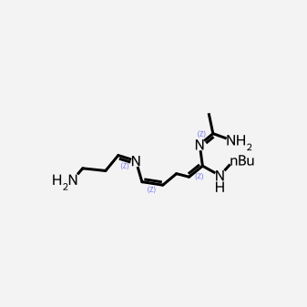 CCCCNC(=C/C/C=C\N=C/CCN)/N=C(/C)N